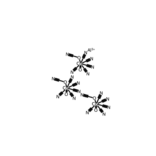 N#C[O][Co-](=[O])([C]#N)([C]#N)([C]#N)([C]#N)[C]#N.N#C[O][Co-](=[O])([C]#N)([C]#N)([C]#N)([C]#N)[C]#N.N#C[O][Co-](=[O])([C]#N)([C]#N)([C]#N)([C]#N)[C]#N.[Al+3]